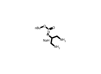 CCCCO[PH](=O)OC(CN)CN.[NaH]